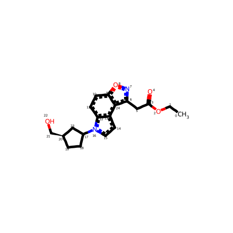 CCOC(=O)Cc1noc2ccc3c(ccn3C3CC[C@@H](CO)C3)c12